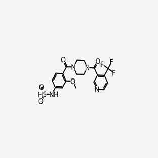 COc1cc(N[SH](=O)=O)ccc1C(=O)N1CCN(C(=O)c2cnccc2C(F)(F)F)CC1